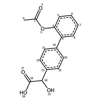 CC(=O)Oc1ccccc1-c1ccc(C(O)C(=O)O)cc1